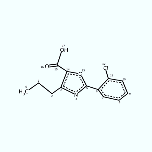 CCCc1nc(-c2ccccc2Cl)oc1C(=O)O